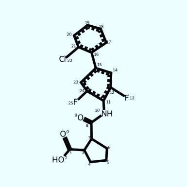 O=C(O)C1CCCC1C(=O)Nc1c(F)cc(-c2ccccc2Cl)cc1F